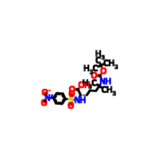 CC(C)(CCC[C@H](NS(=O)(=O)c1ccc([N+](=O)[O-])cc1)C(=O)O)NC(=O)OC(C)(C)C